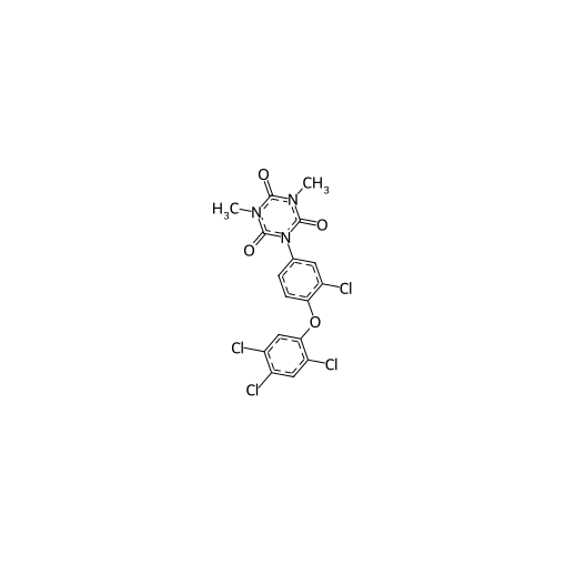 Cn1c(=O)n(C)c(=O)n(-c2ccc(Oc3cc(Cl)c(Cl)cc3Cl)c(Cl)c2)c1=O